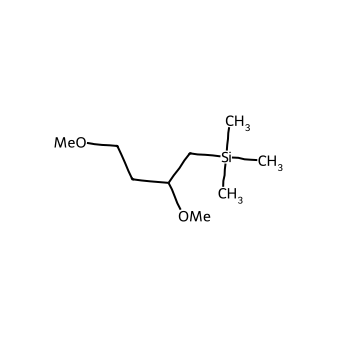 COCCC(C[Si](C)(C)C)OC